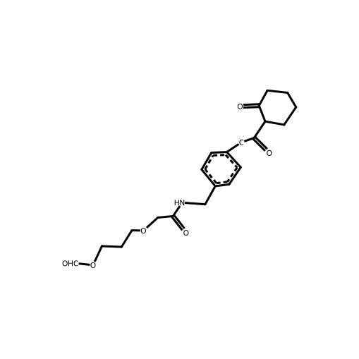 O=COCCCOCC(=O)NCc1ccc(CC(=O)C2CCCCC2=O)cc1